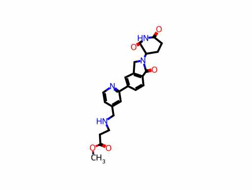 COC(=O)CCNCc1ccnc(-c2ccc3c(c2)CN(C2CCC(=O)NC2=O)C3=O)c1